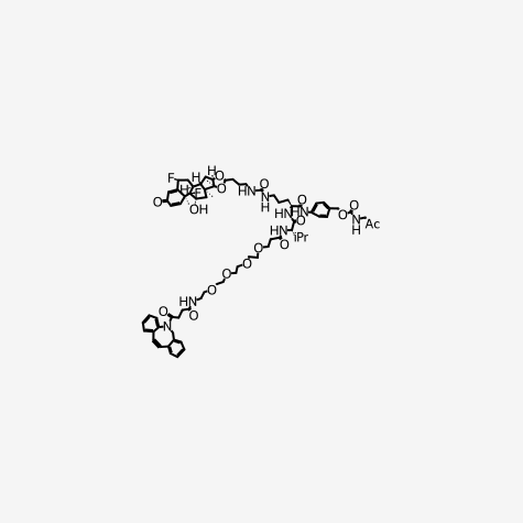 CC(=O)CNC(=O)OCc1ccc(NC(=O)[C@H](CCCNC(=O)NCCCC2O[C@@H]3C[C@H]4[C@@H]5C[C@H](F)C6=CC(=O)C=C[C@]6(C)[C@@]5(F)[C@@H](O)C[C@]4(C)[C@]3(C)O2)NC(=O)[C@@H](NC(=O)CCOCCOCCOCCOCCNC(=O)CCC(=O)N2Cc3ccccc3C#Cc3ccccc32)C(C)C)cc1